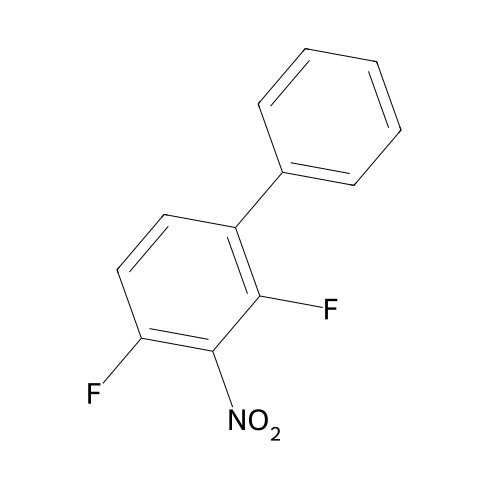 O=[N+]([O-])c1c(F)ccc(-c2ccccc2)c1F